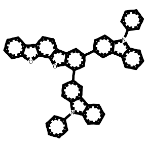 c1ccc(-n2c3ccccc3c3cc(-c4cc(-c5ccc6c(c5)c5ccccc5n6-c5ccccc5)c5oc6c(ccc7c8ccccc8oc76)c5c4)ccc32)cc1